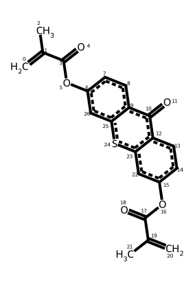 C=C(C)C(=O)Oc1ccc2c(=O)c3ccc(OC(=O)C(=C)C)cc3sc2c1